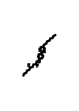 CCCCCCCCc1cnc(-c2ccc(OCC(F)CCC(F)CCCCC)cc2)nc1